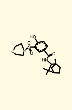 CC12CCC(C1)C(C)(C)C2NC(=O)c1ccc(O)c(S(=O)(=O)N2CCOCC2)c1